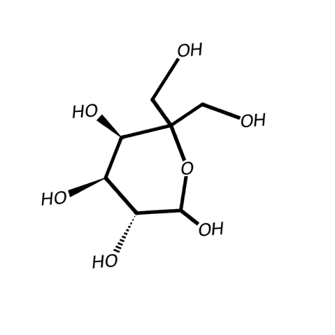 OCC1(CO)OC(O)[C@H](O)[C@@H](O)[C@H]1O